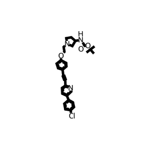 CC(C)(C)OC(=O)NC1CCN(CCOc2ccc(C#Cc3ccc(-c4ccc(Cl)cc4)cn3)cc2)C1